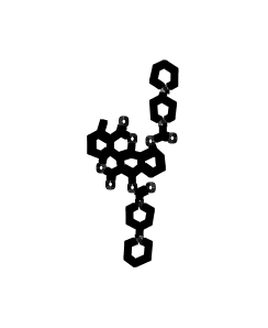 Cc1ccc2oc(=O)c3c(OC(=O)N4CCC(N5CCCCC5)CC4)c4cccc(OC(=O)N5CCC(N6CCCCC6)CC5)c4c4oc(=O)c1c2c34